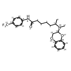 CC(CCCCC(=O)Nc1ccc(C(F)(F)F)cc1)N(C)C1COc2ccccc2O1